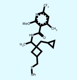 CCCSCC1CC(CC2CC2)(C(C)NC(=O)c2c(C)cc(C(F)(F)F)nc2OC)C1